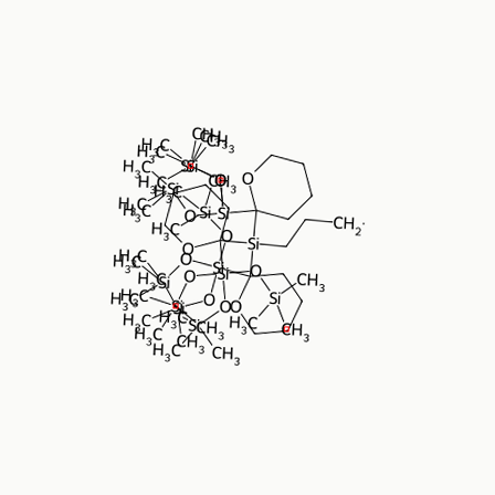 [CH2]CC[Si](C1([Si](O[Si](C)(C)C)(O[Si](C)(C)C)O[Si](C)(C)C)CCCCO1)(C1([Si](O[Si](C)(C)C)(O[Si](C)(C)C)O[Si](C)(C)C)CCCCO1)C1([Si](O[Si](C)(C)C)(O[Si](C)(C)C)O[Si](C)(C)C)CCCCO1